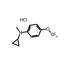 CN(c1ccc(OC(F)(F)F)cc1)C1CC1.Cl